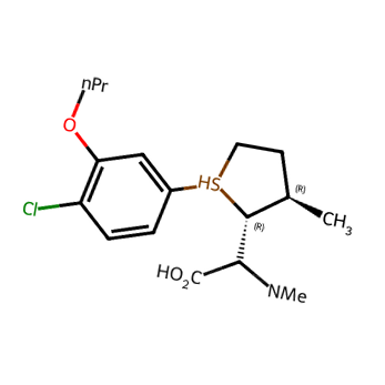 CCCOc1cc([SH]2CC[C@@H](C)[C@@H]2C(NC)C(=O)O)ccc1Cl